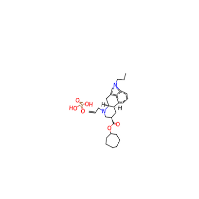 C=CCN1C[C@H](C(=O)OC2CCCCCC2)C[C@@H]2c3cccc4c3c(cn4CCC)C[C@H]21.O=S(=O)(O)O